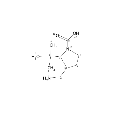 CC(C)(C)C1C(CN)CCN1C(=O)O